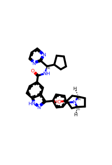 O=C(N[C@@H](c1ncccn1)C1CCCC1)c1ccc2[nH]nc(-c3ccc(N4[C@@H]5CC[C@H]4CC(O)C5)cc3)c2c1